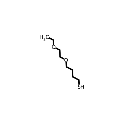 CCOCCOCCCCS